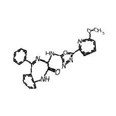 COc1cccc(-c2nnc(NC3N=C(c4ccccc4)c4ccccc4NC3=O)o2)n1